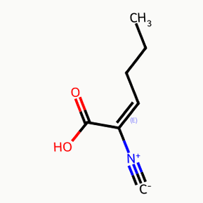 [C-]#[N+]/C(=C/CCC)C(=O)O